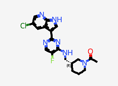 CC(=O)N1CCC[C@H](CNc2nc(-c3c[nH]c4ncc(Cl)cc34)ncc2F)C1